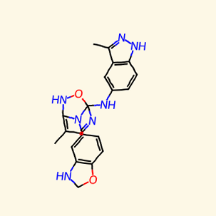 CC1=C2NOC(Nc3ccc4[nH]nc(C)c4c3)(N=C1)N2c1ccc2c(c1)NCO2